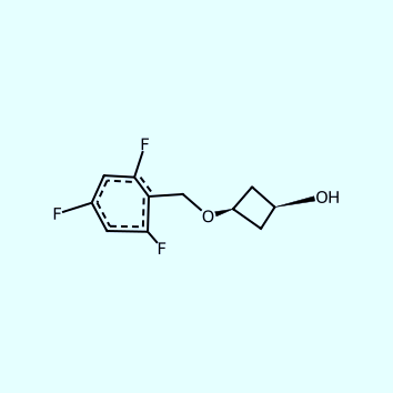 O[C@H]1C[C@@H](OCc2c(F)cc(F)cc2F)C1